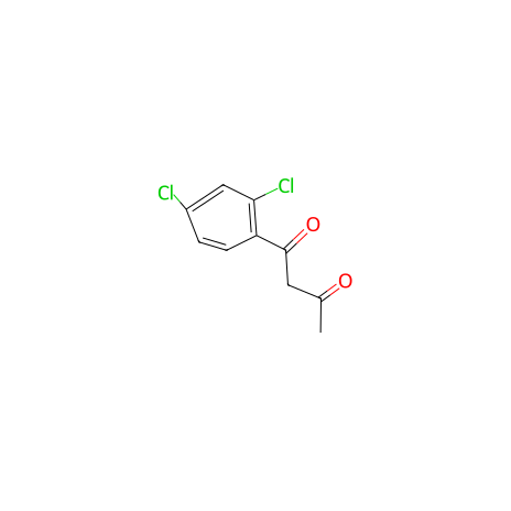 CC(=O)CC(=O)c1ccc(Cl)cc1Cl